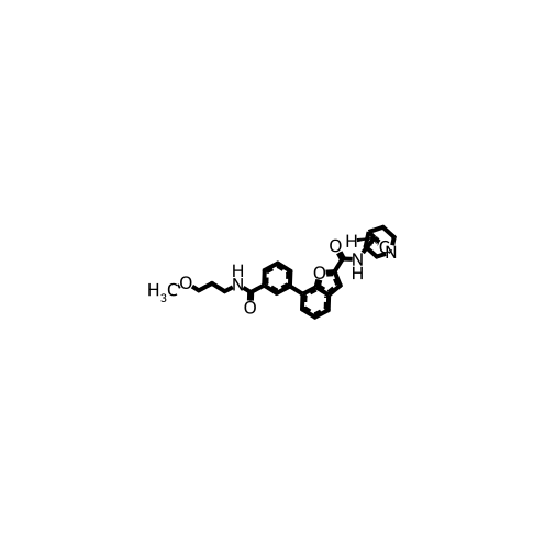 COCCCNC(=O)c1cccc(-c2cccc3cc(C(=O)N[C@H]4CN5CCC4CC5)oc23)c1